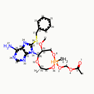 B[PH]1(OCOC(C)=O)OC[C@H](OC)[C@H](n2c(SCc3ccccc3)nc3c(N)ncnc32)O[C@@H](C)CO1